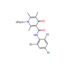 CCCCCn1c(C)c(C)c(=O)c(C(=O)Nc2c(CC)cc(Br)cc2CC)c1C